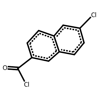 O=C(Cl)c1ccc2cc(Cl)ccc2c1